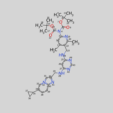 Cc1cc(N(C(=O)OC(C)(C)C)C(=O)OC(C)(C)C)nc(C)c1CNc1cc(NCc2cn3cc(C4CC4)ccc3n2)ncn1